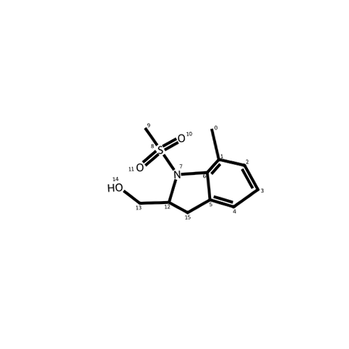 Cc1cccc2c1N(S(C)(=O)=O)C(CO)C2